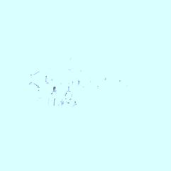 CCCCCCCCOC(=O)C(CC(C)C)C(=O)c1c(C)cc(C)cc1C.O=[PH3]